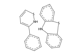 C1=CSNC(c2ccccc2)=C1.c1ccc2c(c1)Nc1ccccc1S2